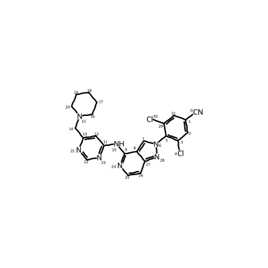 N#Cc1cc(Cl)c(-n2cc3c(Nc4cc(CN5CCCCC5)ncn4)nccc3n2)c(Cl)c1